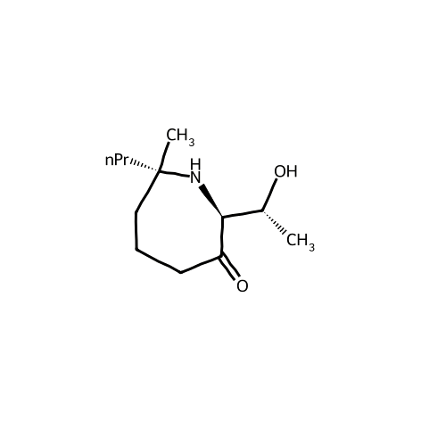 CCC[C@@]1(C)CCCC(=O)[C@H]([C@@H](C)O)N1